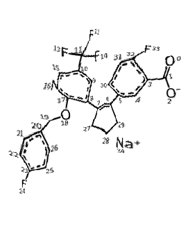 O=C([O-])c1cc(C2=C(c3cc(C(F)(F)F)cnc3OCc3ccc(F)cc3)CCC2)ccc1F.[Na+]